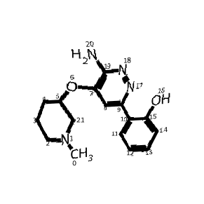 CN1CCCC(Oc2cc(-c3ccccc3O)nnc2N)C1